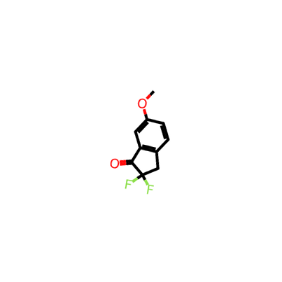 COc1ccc2c(c1)C(=O)C(F)(F)C2